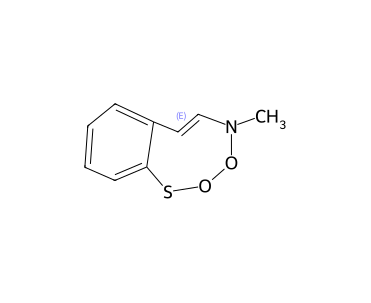 CN1/C=C/c2ccccc2SOO1